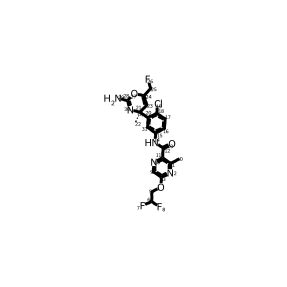 Cc1nc(OCC(F)F)cnc1C(=O)Nc1ccc(Cl)c([C@]2(C)C=C(CF)OC(N)=N2)c1